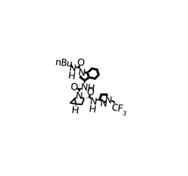 CCCCNC(=O)n1cc(NC(=O)N2C3C[C@@H]3C[C@H]2C(=O)Nc2ccn(CC(F)(F)F)n2)c2ccccc21